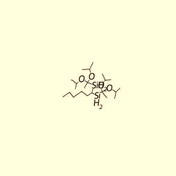 CCCCCC([SiH2]C(C)(OC(C)C)OC(C)C)[SiH2]C(C)(OC(C)C)OC(C)C